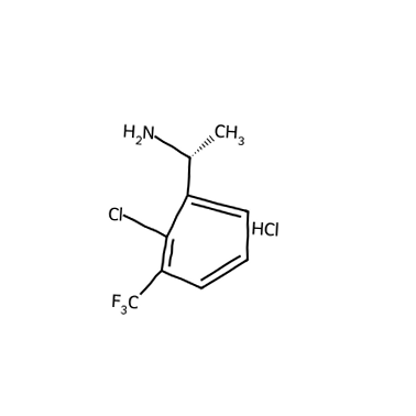 C[C@@H](N)c1cccc(C(F)(F)F)c1Cl.Cl